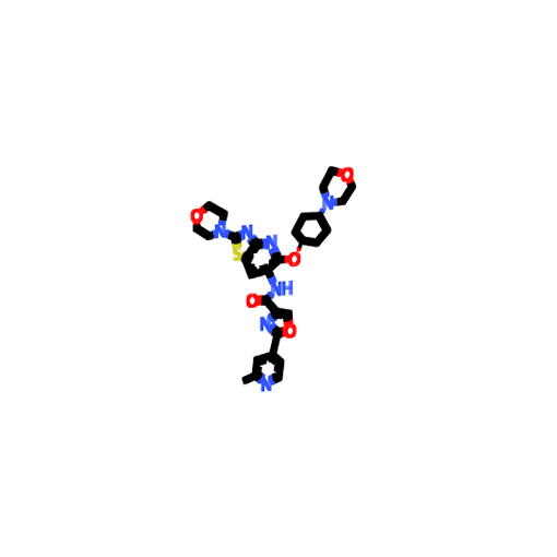 Cc1cc(-c2nc(C(=O)Nc3cc4sc(N5CCOCC5)nc4nc3O[C@H]3CC[C@H](N4CCOCC4)CC3)co2)ccn1